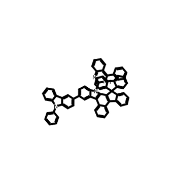 c1ccc(C2=c3ccccc3=NC(n3c4ccc(-c5ccc6c(c5)c5ccccc5n6-c5ccccc5)cc4c4c5ccccc5c5c(c43)C3(c4ccccc4-c4ccccc43)c3ccccc3-5)N2)cc1